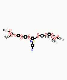 C=CC(=O)OCC(COc1ccc(OC(=O)C2CCC(C(=O)Oc3ccc(CCOC(=O)C4CCC(C(=C)Oc5ccc(OC(COC(=O)C=C)OC(=O)C=C)cc5)CC4)c4sc(-c5ccc(C#N)cc5)nc34)CC2)cc1)OC(=O)C=C